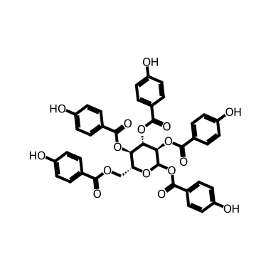 O=C(OC[C@H]1OC(OC(=O)c2ccc(O)cc2)[C@H](OC(=O)c2ccc(O)cc2)[C@@H](OC(=O)c2ccc(O)cc2)[C@@H]1OC(=O)c1ccc(O)cc1)c1ccc(O)cc1